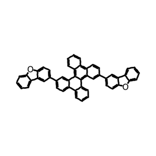 c1ccc2c(c1)oc1ccc(-c3ccc4c5ccccc5c5c6cc(-c7ccc8oc9ccccc9c8c7)ccc6c6ccccc6c5c4c3)cc12